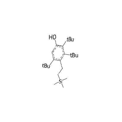 CC(C)(C)c1cc(O)c(C(C)(C)C)c(C(C)(C)C)c1CC[Si](C)(C)C